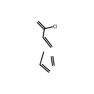 C=C.C=CC.C=CC(=C)Cl